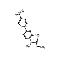 CCC(=O)N(C)c1ccc(-c2ccc(C(=O)O)cn2)cc1C